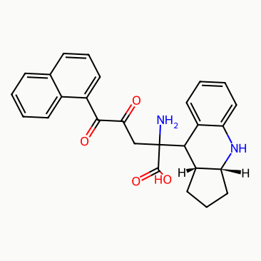 NC(CC(=O)C(=O)c1cccc2ccccc12)(C(=O)O)C1c2ccccc2N[C@@H]2CCC[C@H]12